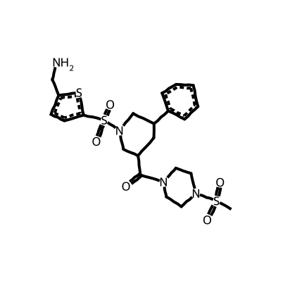 CS(=O)(=O)N1CCN(C(=O)C2CC(c3ccccc3)CN(S(=O)(=O)c3ccc(CN)s3)C2)CC1